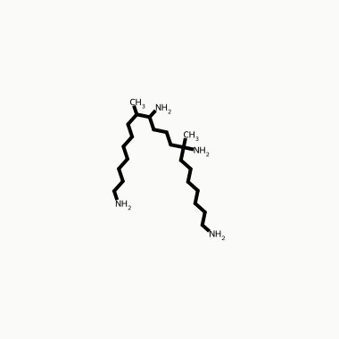 CC(CCCCCCCN)C(N)CCCC(C)(N)CCCCCCCN